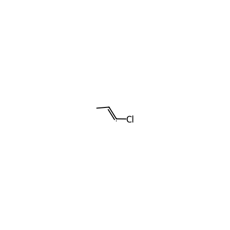 C/C=[C]/Cl